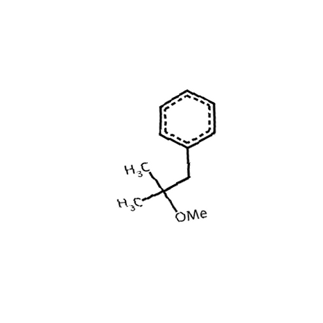 [CH2]OC(C)(C)Cc1ccccc1